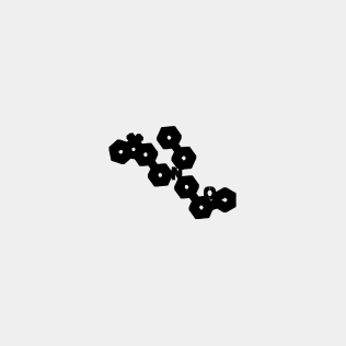 CC1(C)c2ccccc2-c2cc(-c3cccc(N(c4ccc(-c5cccc6c5oc5ccccc56)cc4)c4cccc(-c5ccccc5)c4)c3)ccc21